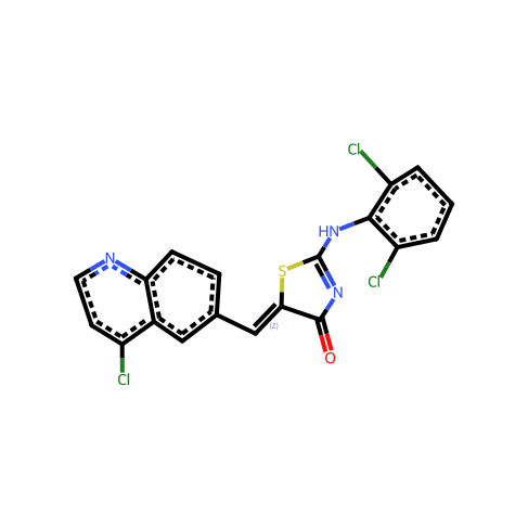 O=C1N=C(Nc2c(Cl)cccc2Cl)S/C1=C\c1ccc2nccc(Cl)c2c1